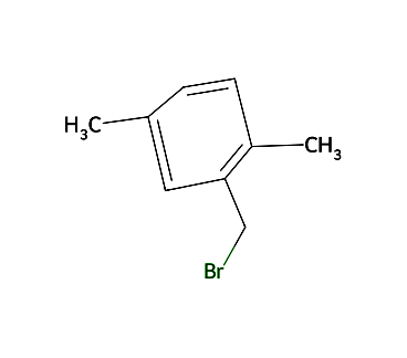 Cc1ccc(C)c(CBr)c1